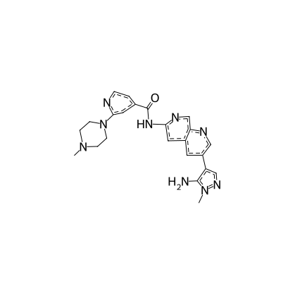 CN1CCN(c2cc(C(=O)Nc3cc4cc(-c5cnn(C)c5N)cnc4cn3)ccn2)CC1